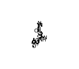 COc1ccc(C)cc1[C@@H](C)CC(=O)Nc1sc2c(c1C#N)CCN(C(=O)OCc1cncn1C)C2